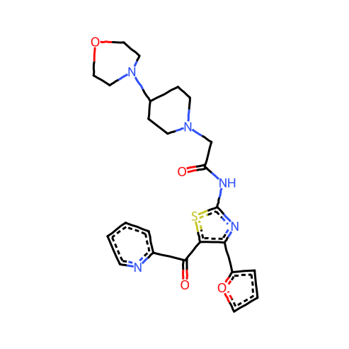 O=C(CN1CCC(N2CCOCC2)CC1)Nc1nc(-c2ccco2)c(C(=O)c2ccccn2)s1